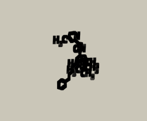 Cc1ccnc(-c2cnc(C(CCCCCCc3ccccc3)O[Si](C)(C)C(C)(C)C)o2)c1